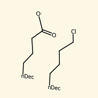 CCCCCCCCCCCCCC([O])=O.CCCCCCCCCCCCCCCl